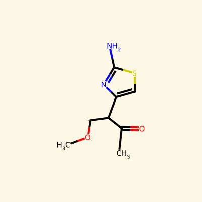 CO[CH]C(C(C)=O)c1csc(N)n1